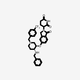 O=C1CCC(N2Cc3cc(O[C@@H]4CN(Cc5ccc(C(F)(F)F)cc5)CC[C@H]4NCc4ccccc4)ccc3C2=O)C(=O)N1